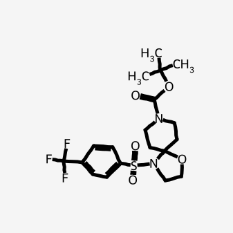 CC(C)(C)OC(=O)N1CCC2(CC1)OCCN2S(=O)(=O)c1ccc(C(F)(F)F)cc1